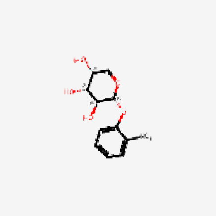 O=[N+]([O-])c1ccccc1O[C@H]1OC[C@@H](O)[C@@H](O)[C@@H]1O